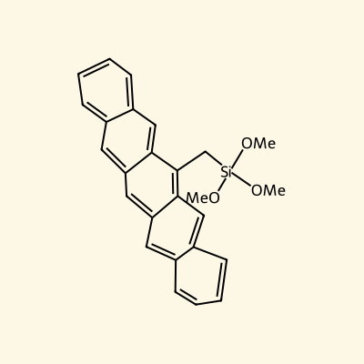 CO[Si](Cc1c2cc3ccccc3cc2cc2cc3ccccc3cc12)(OC)OC